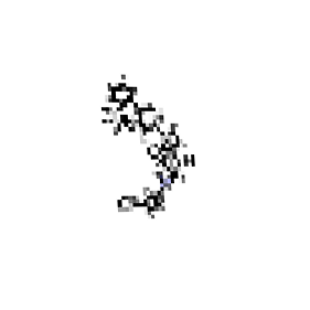 CS(=O)(=O)c1ccccc1-c1ccc(N2CC[C@H](NS(=O)(=O)/C=C/c3ccc(Cl)s3)C2=O)nc1